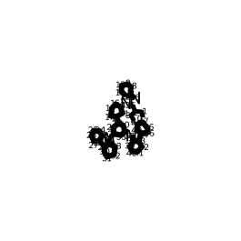 CCC(CC)c1nc2ccccc2n1-c1cccc(-c2cc(-n3c4ccccc4c4ccccc43)cc(-n3c4ccccc4c4ccccc43)c2)c1